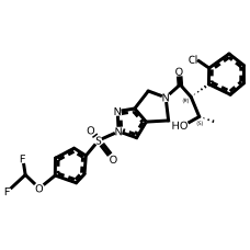 C[C@H](O)[C@H](C(=O)N1Cc2cn(S(=O)(=O)c3ccc(OC(F)F)cc3)nc2C1)c1ccccc1Cl